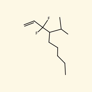 C=CC(F)(F)C(CCCCC)C(C)C